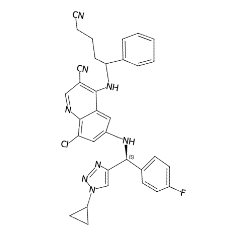 N#CCCCC(Nc1c(C#N)cnc2c(Cl)cc(N[C@@H](c3ccc(F)cc3)c3cn(C4CC4)nn3)cc12)c1ccccc1